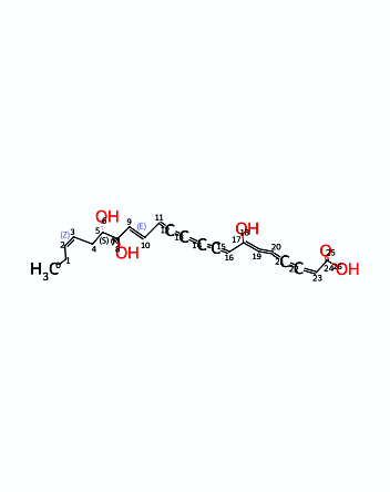 CC/C=C\C[C@H](O)[C@H](O)/C=C/C=C=C=C=C=CC(O)=C=C=C=C=CC(=O)O